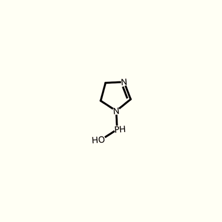 OPN1C=NCC1